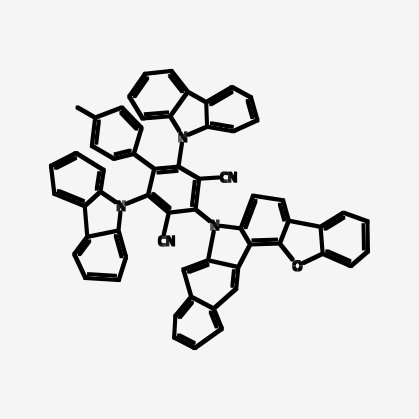 Cc1ccc(-c2c(-n3c4ccccc4c4ccccc43)c(C#N)c(-n3c4cc5ccccc5cc4c4c5oc6ccccc6c5ccc43)c(C#N)c2-n2c3ccccc3c3ccccc32)cc1